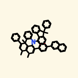 CC1C=C(c2ccccc2)C2(C)C3=C1C(C)C=C(c1ccc(-c4ccc5ccccc5c4)cc1)C3(C)N(c1cccc3c1-c1ccccc1C3(C)c1ccccc1)c1ccccc12